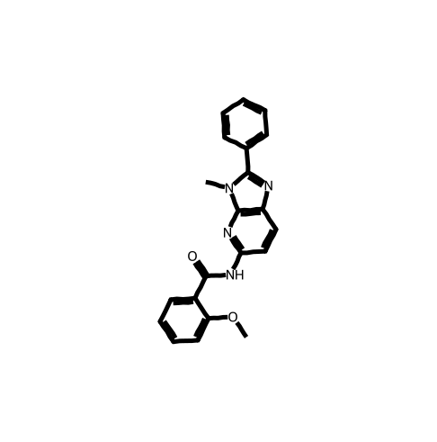 COc1ccccc1C(=O)Nc1ccc2nc(-c3ccccc3)n(C)c2n1